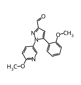 COc1ccc(-n2nc(C=O)cc2-c2ccccc2OC)cn1